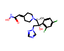 C[C@@H](N1CCC(=CC(=O)NO)CC1)[C@](O)(Cn1cncn1)c1ccc(F)cc1F